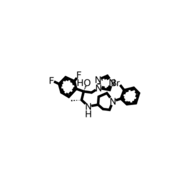 C[C@@H](NC1CCN(c2ccccc2Br)CC1)[C@](O)(Cn1cncn1)c1ccc(F)cc1F